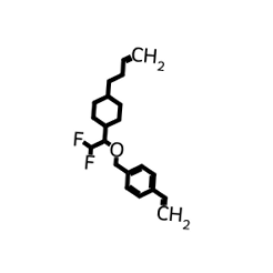 C=CCCC1CCC(C(OCc2ccc(C=C)cc2)C(F)F)CC1